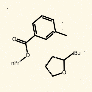 CCC(C)C1CCCO1.CCCOC(=O)c1cccc(C)c1